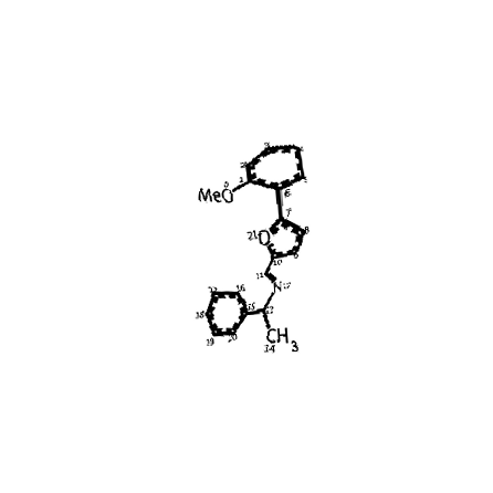 COc1ccccc1-c1ccc(/C=N/C(C)c2ccccc2)o1